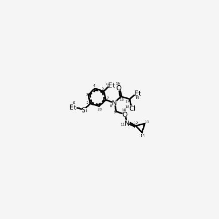 CCSc1ccc(CC)c(N(CON=C2CC2)C(=O)C(Cl)CC)c1